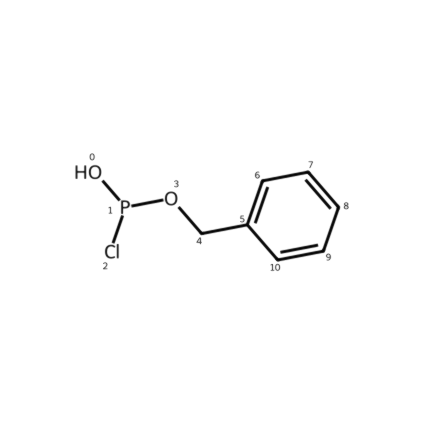 OP(Cl)OCc1ccccc1